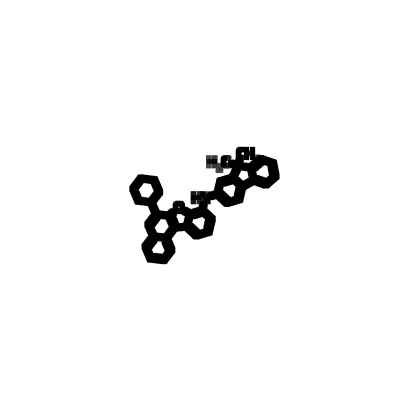 CC1(C)c2ccccc2-c2ccc(Nc3cccc4c3oc3c(C5CCCCC5)cc5ccccc5c34)cc21